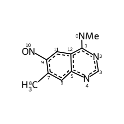 CNc1ncnc2cc(C)c(N=O)cc12